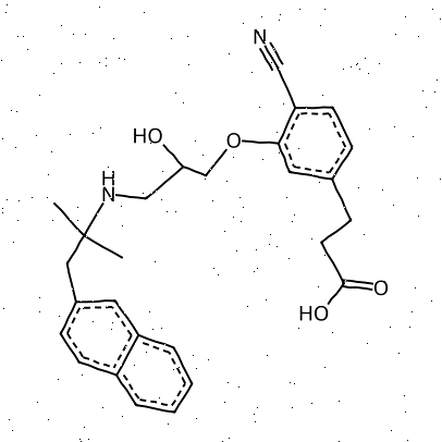 CC(C)(Cc1ccc2ccccc2c1)NCC(O)COc1cc(CCC(=O)O)ccc1C#N